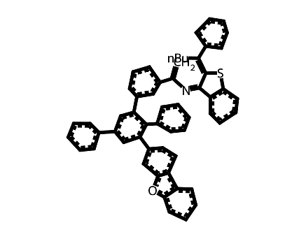 C=C(/N=C1\C(=C(/CCCC)c2ccccc2)Sc2ccccc21)c1cccc(-c2cc(-c3ccccc3)cc(-c3ccc4c(c3)oc3ccccc34)c2-c2ccccc2)c1